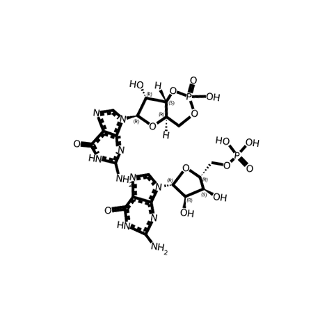 Nc1nc2c(ncn2[C@@H]2O[C@@H]3COP(=O)(O)O[C@H]3[C@H]2O)c(=O)[nH]1.Nc1nc2c(ncn2[C@@H]2O[C@H](COP(=O)(O)O)[C@@H](O)[C@H]2O)c(=O)[nH]1